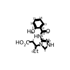 CCC(CC(=O)O)N1CNN=C1NC(=O)c1ccccc1O